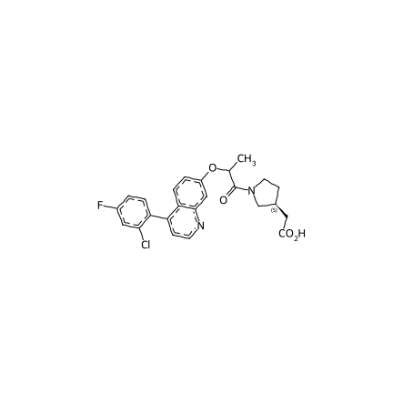 CC(Oc1ccc2c(-c3ccc(F)cc3Cl)ccnc2c1)C(=O)N1CC[C@@H](CC(=O)O)C1